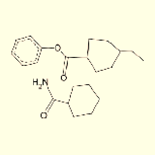 CCC1CCC(C(=O)Oc2ccccc2)CC1.NC(=O)C1CCCCC1